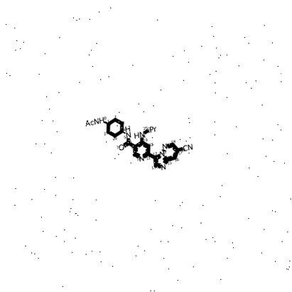 CC(=O)N[C@H]1CC[C@H](NC(=O)c2cnc(-c3cnc4cc(C#N)cnn34)cc2NC(C)C)CC1